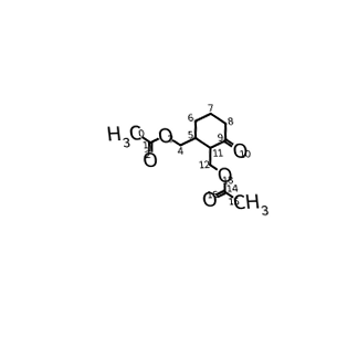 CC(=O)OCC1CCCC(=O)C1COC(C)=O